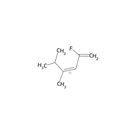 C=C(F)/C=C(/C)C(C)C